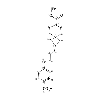 CC(C)OC(=O)N1CCC2(CC1)CC(CCCOc1ccc(C(=O)O)nc1)C2